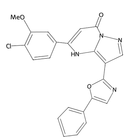 COc1cc(-c2cc(=O)n3ncc(-c4ncc(-c5ccccc5)o4)c3[nH]2)ccc1Cl